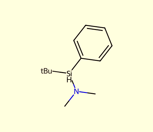 CN(C)[SiH](c1ccccc1)C(C)(C)C